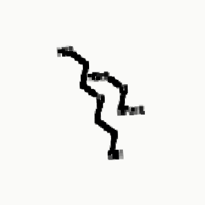 CCCCCCCCOCCCCC.OCCOCCO